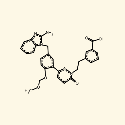 COCOc1ccc(Cn2c(N)nc3ccccc32)cc1-c1ccc(=O)n(CCc2cccc(C(=O)O)c2)n1